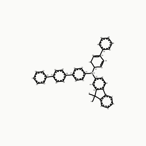 CC1(C)c2ccccc2-c2ccc(N(c3ccc(-c4ccc(-c5ccccc5)cc4)cc3)C3C=CC(c4ccccc4)=CC3)cc21